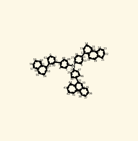 c1cc(-c2ccc(N(c3ccc(-c4cccc5c4ccc4ccccc45)cc3)c3ccc(-c4cc5ccccc5c5ccccc45)cc3)cc2)cc(-c2cccc3ccccc23)c1